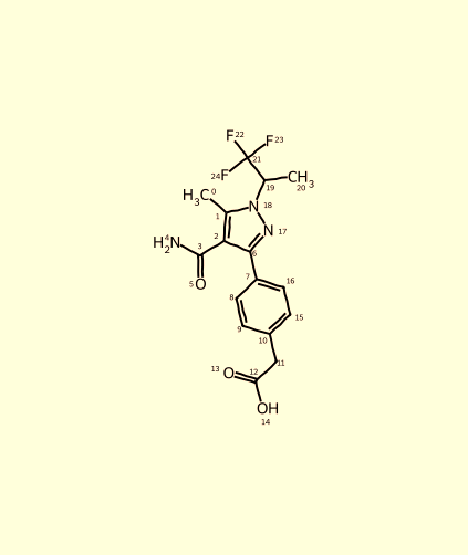 Cc1c(C(N)=O)c(-c2ccc(CC(=O)O)cc2)nn1C(C)C(F)(F)F